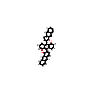 c1ccc2cc3c(ccc4c3oc3cccc5c3c4c3cccc4oc6c7cc8ccccc8cc7ccc6c5c43)cc2c1